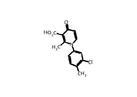 Cc1ccc(-n2ccc(=O)c(C(=O)O)c2C)cc1Cl